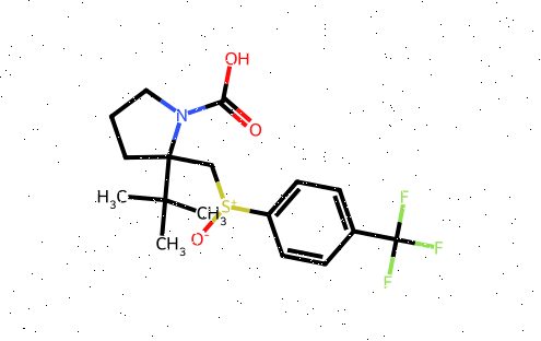 CC(C)(C)C1(C[S+]([O-])c2ccc(C(F)(F)F)cc2)CCCN1C(=O)O